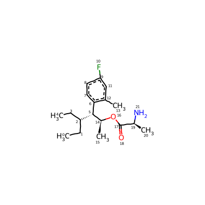 CCC(CC)[C@H](c1ccc(F)cc1C)[C@H](C)OC(=O)[C@H](C)N